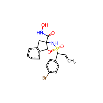 C=CC(c1ccc(Br)cc1)S(=O)(=O)NC1(C(=O)NO)Cc2ccccc2C1